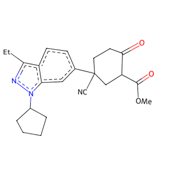 CCc1nn(C2CCCC2)c2cc(C3(C#N)CCC(=O)C(C(=O)OC)C3)ccc12